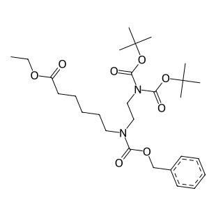 CCOC(=O)CCCCCN(CCN(C(=O)OC(C)(C)C)C(=O)OC(C)(C)C)C(=O)OCc1ccccc1